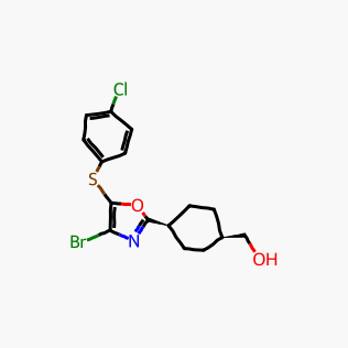 OC[C@H]1CC[C@@H](c2nc(Br)c(Sc3ccc(Cl)cc3)o2)CC1